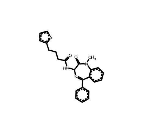 CN1C(=O)C(NC(=O)CCCc2cccs2)N=C(c2ccccc2)c2ccccc21